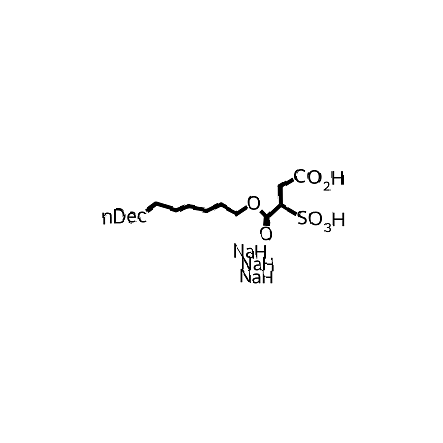 CCCCCCCCCCCCCCCCOC(=O)C(CC(=O)O)S(=O)(=O)O.[NaH].[NaH].[NaH]